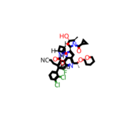 C[C@@H]1[C@@H](O)C[C@H](c2cc3c([C@@H](C)OC4CCCCO4)nc4c(F)c(-c5cccc(Cl)c5Cl)c(CCC#N)cc4c3n2[C@H]2[C@@H]3C[C@H]2N(C(=O)OC(C)(C)C)C3)N1C(=O)C1CC1